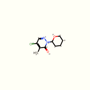 Cc1c(Cl)cnn(C2CCCCO2)c1=O